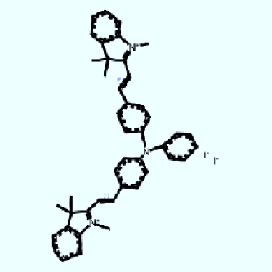 C[N+]1=C(/C=C/c2ccc(N(c3ccccc3)c3ccc(/C=C/C4=[N+](C)c5ccccc5C4(C)C)cc3)cc2)C(C)(C)c2ccccc21.[I-].[I-]